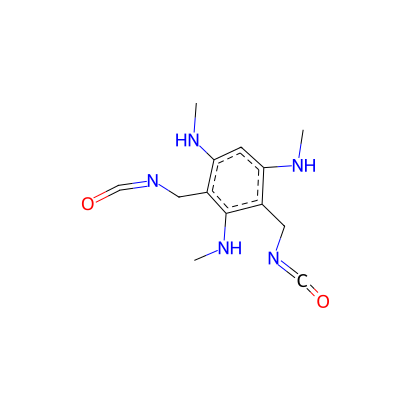 CNc1cc(NC)c(CN=C=O)c(NC)c1CN=C=O